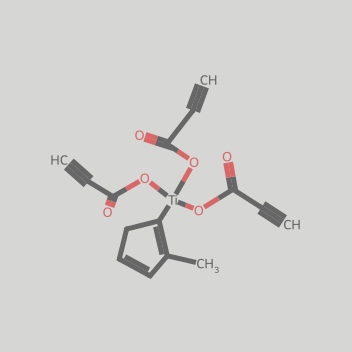 C#CC(=O)[O][Ti]([O]C(=O)C#C)([O]C(=O)C#C)[C]1=C(C)C=CC1